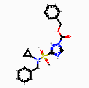 O=C(OCc1ccccc1)n1cnc(S(=O)(=O)N(Cc2ccccc2)C2CC2)n1